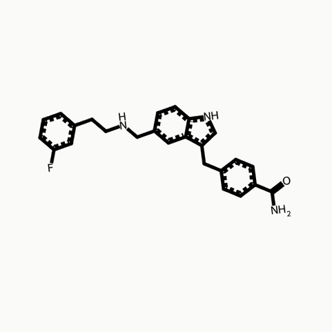 NC(=O)c1ccc(Cc2c[nH]c3ccc(CNCCc4cccc(F)c4)cc23)cc1